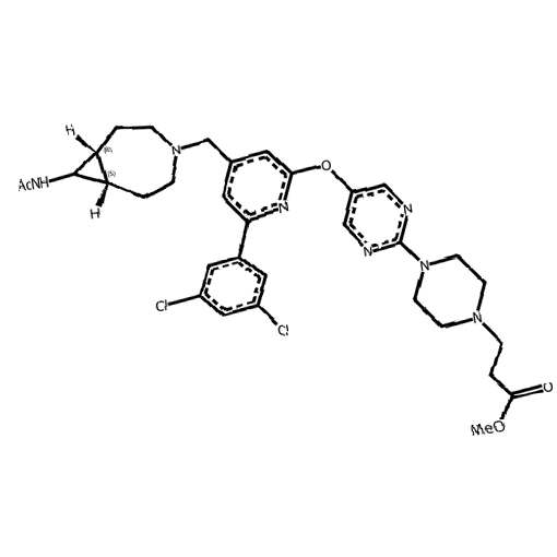 COC(=O)CCN1CCN(c2ncc(Oc3cc(CN4CC[C@@H]5C(NC(C)=O)[C@@H]5CC4)cc(-c4cc(Cl)cc(Cl)c4)n3)cn2)CC1